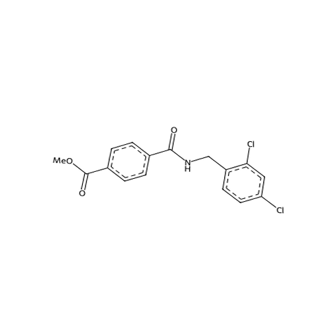 COC(=O)c1ccc(C(=O)NCc2ccc(Cl)cc2Cl)cc1